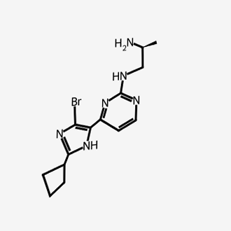 C[C@H](N)CNc1nccc(-c2[nH]c(C3CCC3)nc2Br)n1